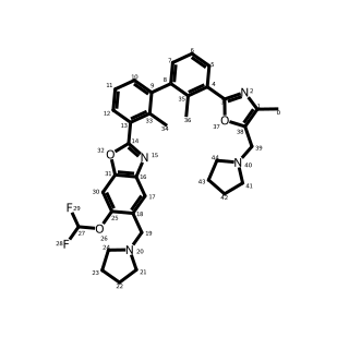 Cc1nc(-c2cccc(-c3cccc(-c4nc5cc(CN6CCCC6)c(OC(F)F)cc5o4)c3C)c2C)oc1CN1CCCC1